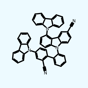 N#Cc1ccc2c(c1)c1c(-n3c4ccccc4c4ccccc43)cccc1n2-c1ccccc1-c1ccc(-n2c3ccccc3c3ccccc32)cc1C#N